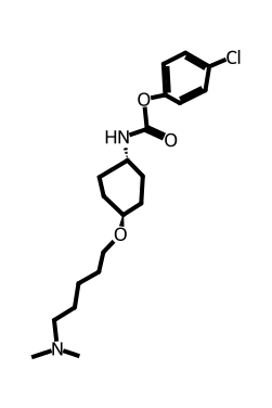 CN(C)CCCCCO[C@H]1CC[C@H](NC(=O)Oc2ccc(Cl)cc2)CC1